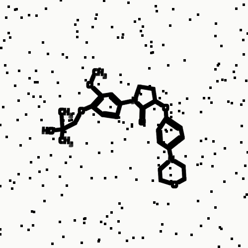 COc1cc(N2CCC(Oc3ccc(N4CCOCC4)cc3)C2=O)ccc1OCC(C)(C)O